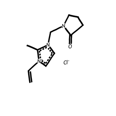 C=C[n+]1ccn(CN2CCCC2=O)c1C.[Cl-]